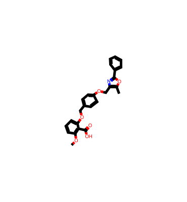 COc1cccc(OCc2ccc(OCc3nc(-c4ccccc4)oc3C)cc2)c1C(=O)O